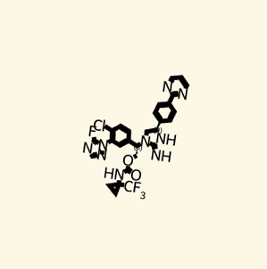 N=C1N[C@H](c2ccc(-c3ncccn3)cc2)CN1[C@H](COC(=O)NC1(C(F)(F)F)CC1)c1ccc(Cl)c(-n2ncnc2F)c1